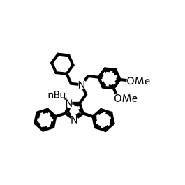 CCCCn1c(-c2ccccc2)nc(-c2ccccc2)c1CN(Cc1ccc(OC)c(OC)c1)CC1CCCCC1